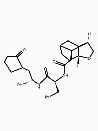 CC(C)C[C@H](NC(=O)C[C@H]1C2CO[C@H]3OC[C@@H]1C3C2)C(=O)N[C@H](C=O)CC1CCCC1=O